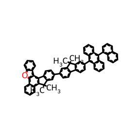 CC1(C)c2cc(-c3ccc4c(c3)C(C)(C)c3c-4c4c5ccccc5oc4c4ccccc34)ccc2-c2ccc(-c3c4ccccc4c(-c4cccc5ccccc45)c4ccccc34)cc21